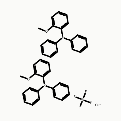 COc1ccccc1P(c1ccccc1)c1ccccc1.COc1ccccc1P(c1ccccc1)c1ccccc1.F[B-](F)(F)F.[Cu+]